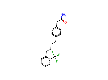 NC(=O)Cc1ccc(CCCCc2ccccc2C(F)(F)F)cc1